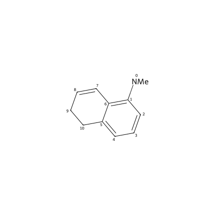 CNc1cccc2c1C=CCC2